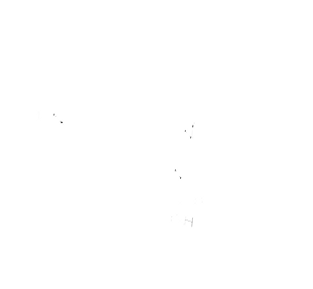 C[C@@H]1CN([C@H](c2ccccc2)c2cccc(C#CC3CCNCC3)c2)CCN1CC(=O)O